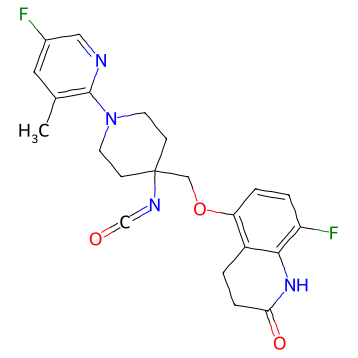 Cc1cc(F)cnc1N1CCC(COc2ccc(F)c3c2CCC(=O)N3)(N=C=O)CC1